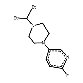 CCC(CC)N1CCN(c2ccc(F)nc2)CC1